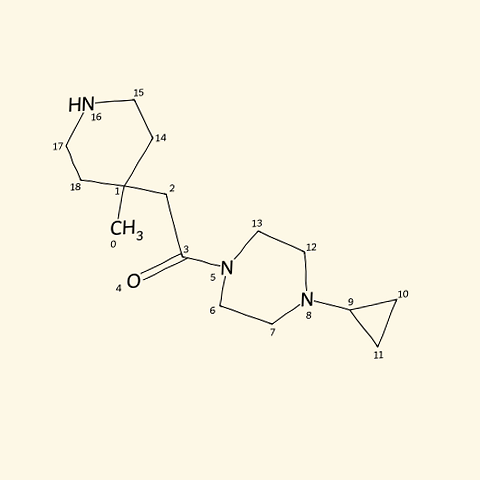 CC1(CC(=O)N2CCN(C3CC3)CC2)CCNCC1